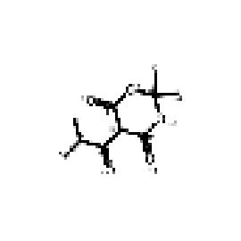 CC(C)C(=O)C1C(=O)OC(C)(C)OC1=O